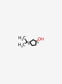 CC(C)[C@@H]1CC[C@H](O)C1